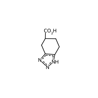 O=C(O)C1CCc2[nH]nnc2C1